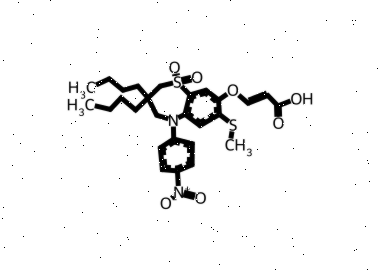 CCCCC1(CCCC)CN(c2ccc([N+](=O)[O-])cc2)c2cc(SC)c(OC=CC(=O)O)cc2S(=O)(=O)C1